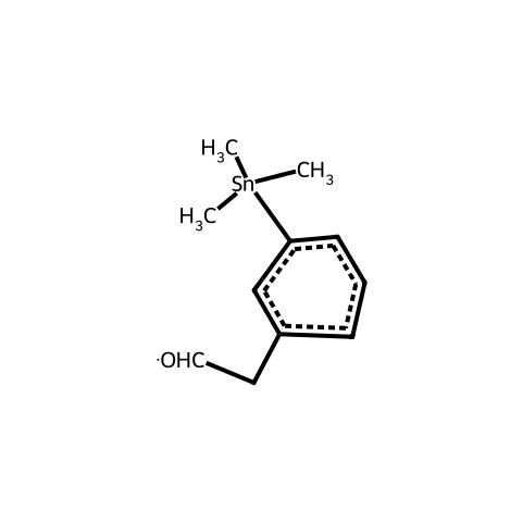 [CH3][Sn]([CH3])([CH3])[c]1cccc(C[C]=O)c1